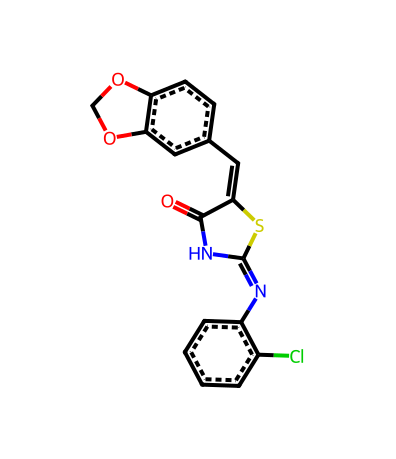 O=C1NC(=Nc2ccccc2Cl)SC1=Cc1ccc2c(c1)OCO2